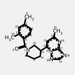 Cc1ccc(C(=O)N2CCCC(c3cc(C)nc4ncnn34)C2)c(C)c1